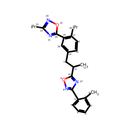 Cc1ccccc1-c1noc(C(C)Cc2ccc(C(C)C)c(-c3nc(C(C)C)no3)c2)n1